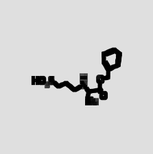 CCC(C)C(NCCCS(=O)(=O)O)C(=O)OCc1ccccc1